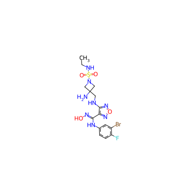 CCNS(=O)(=O)N1CC(N)(CNc2nonc2/C(=N/O)Nc2ccc(F)c(Br)c2)C1